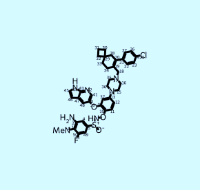 CNc1c(N)cc([S+]([O-])NOc2ccc(N3CCN(CC4=C(c5ccc(Cl)cc5)CC5(CCC5)CC4)CC3)cc2Oc2cnc3[nH]ccc3c2)cc1F